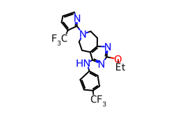 CCOc1nc2c(c(Nc3ccc(C(F)(F)F)cc3)n1)CCN(c1ncccc1C(F)(F)F)CC2